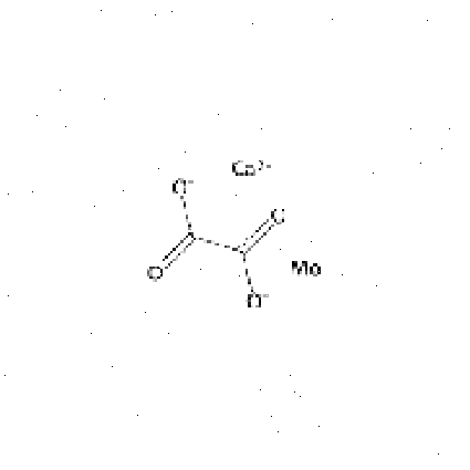 O=C([O-])C(=O)[O-].[Ca+2].[Mo]